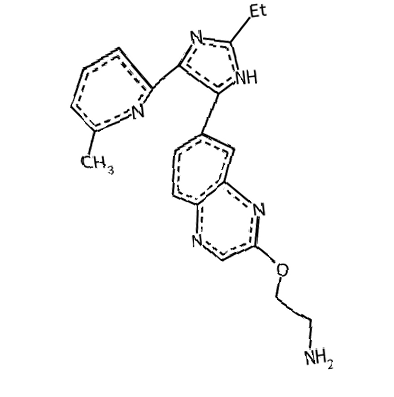 CCc1nc(-c2cccc(C)n2)c(-c2ccc3ncc(OCCN)nc3c2)[nH]1